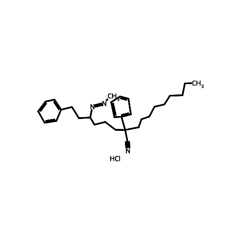 CCCCCCCCCC(C#N)(CCCC(CCc1ccccc1)N=NC)c1ccccc1.Cl